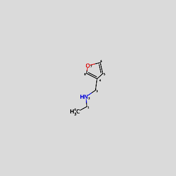 CCNCc1ccoc1